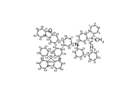 CC1(C)c2ccccc2-c2ccc(N(c3cccc(-c4ccccc4)c3)c3ccc(-c4ccc5c(c4)oc4ccccc45)c(-c4ccc5c(c4)-c4ccccc4C54c5ccccc5-c5ccccc54)c3)cc21